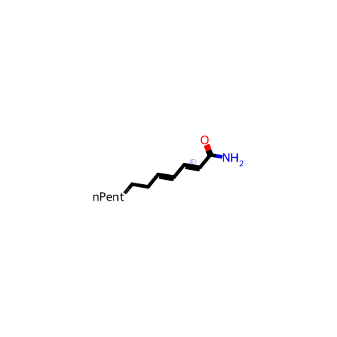 CCCCCCCC=C/C=C/C(N)=O